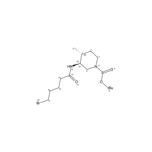 C[C@@H]1CCN(C(=O)OC(C)(C)C)C[C@H]1NC(=O)CCCCBr